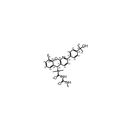 CNC(=O)NC(=O)C(C)(C)[C@@H]1c2ccc(-c3ccc(C(C)(C)O)cc3)nc2Oc2c(F)cccc21